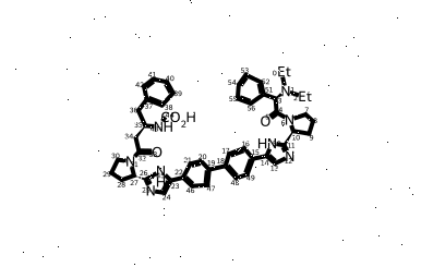 CCN(CC)[C@@H](C(=O)N1CCC[C@H]1c1ncc(-c2ccc(-c3ccc(-c4cnc([C@@H]5CCCN5C(=O)C[C@@H](Cc5ccccc5)NC(=O)O)[nH]4)cc3)cc2)[nH]1)c1ccccc1